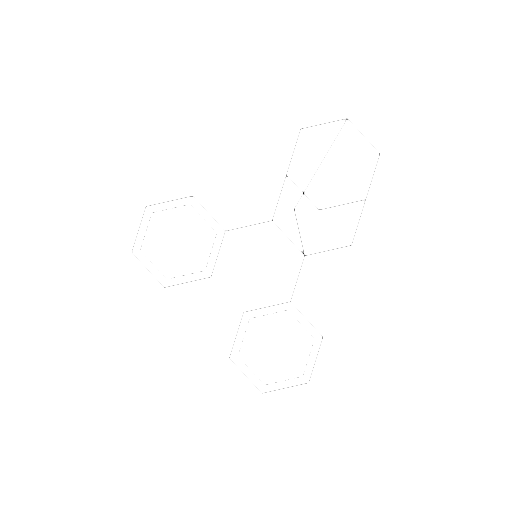 c1ccc(C2C3CC4CC(C3)CC2(c2ccccc2)C4)cc1